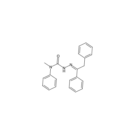 CN(C(=O)NN=C(Cc1ccccc1)c1ccccc1)c1ccccc1